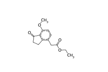 CCOC(=O)Cc1ccc(OC)c2c1CCC2=O